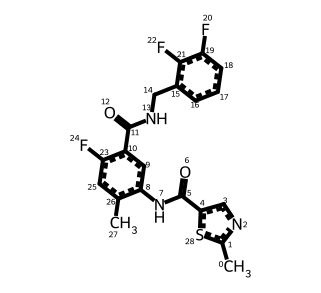 Cc1ncc(C(=O)Nc2cc(C(=O)NCc3cccc(F)c3F)c(F)cc2C)s1